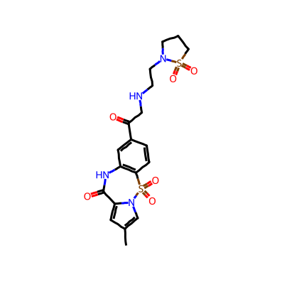 Cc1cc2n(c1)S(=O)(=O)c1ccc(C(=O)CNCCN3CCCS3(=O)=O)cc1NC2=O